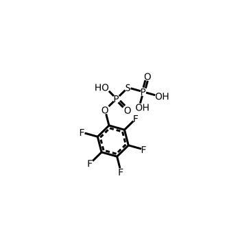 O=P(O)(O)SP(=O)(O)Oc1c(F)c(F)c(F)c(F)c1F